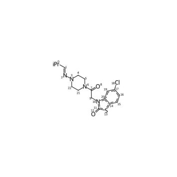 CC(C)C=NN1CCN(C(=O)Cn2c(=O)sc3ccc(Cl)cc32)CC1